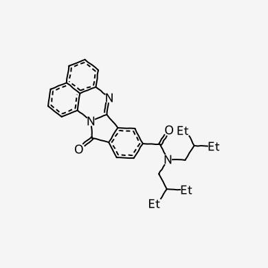 CCC(CC)CN(CC(CC)CC)C(=O)c1ccc2c(c1)C1=Nc3cccc4cccc(c34)N1C2=O